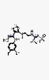 CN(C)/C(=N\S(C)(=O)=O)NCCNc1nonc1/C(=N/O)Nc1ccc(F)c(Br)c1